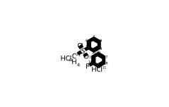 C.CS(=O)(=O)c1ccccc1.Cl.Cl.Fc1ccccc1